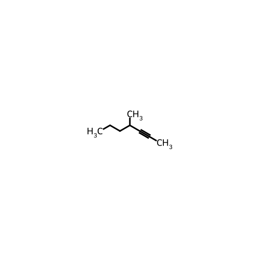 CC#CC(C)CCC